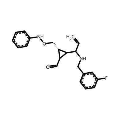 C=CC(NCc1cccc(F)c1)C1C(C=O)[C@@H]1CONc1ccccc1